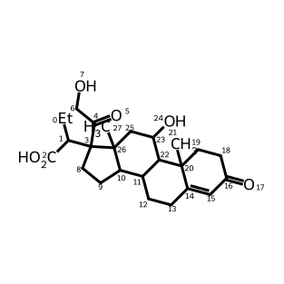 CCC(C(=O)O)C1(C(=O)CO)CCC2C3CCC4=CC(=O)CCC4(C)C3C(O)CC21C